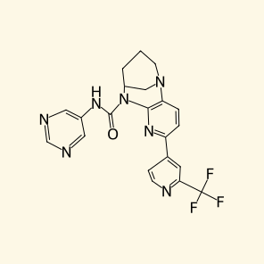 O=C(Nc1cncnc1)N1c2nc(-c3ccnc(C(F)(F)F)c3)ccc2N2CCCC1C2